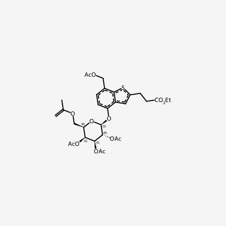 C=C(C)OC[C@H]1O[C@@H](Oc2ccc(COC(C)=O)c3sc(CCC(=O)OCC)cc23)[C@H](OC(C)=O)[C@@H](OC(C)=O)[C@H]1OC(C)=O